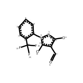 O=Cc1c(Cl)nn(-c2ccccc2C(F)(F)F)c1Cl